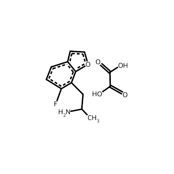 CC(N)Cc1c(F)ccc2ccoc12.O=C(O)C(=O)O